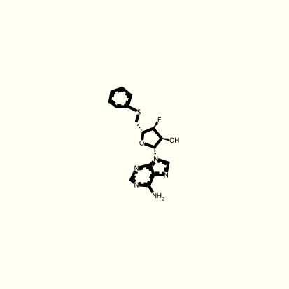 Nc1ncnc2c1ncn2[C@@H]1O[C@H](CSc2ccccc2)[C@@H](F)[C@H]1O